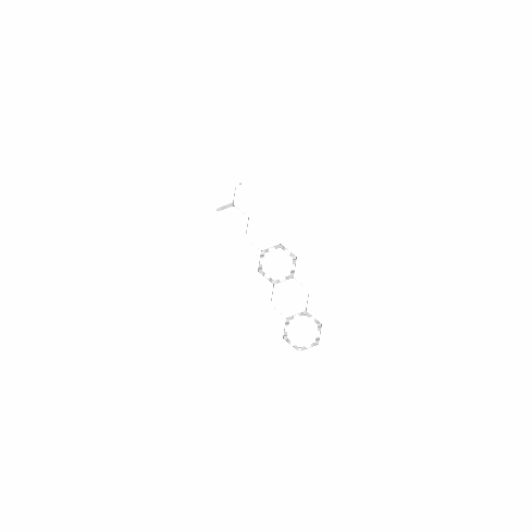 O=C(O)COc1ccc2c(c1)Cc1ccccc1S2